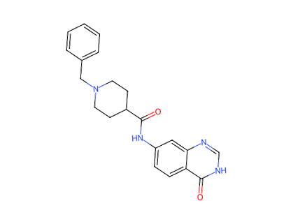 O=C(Nc1ccc2c(=O)[nH]cnc2c1)C1CCN(Cc2ccccc2)CC1